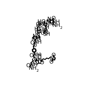 CC(C)[C@H](NC(=O)CCCCCN1C(=O)C=CC1=O)C(=O)N[C@@H](CCCNC(N)=O)C(=O)Nc1ccc(COC(=O)Nc2ncnc3c2ncn3[C@@H]2O[C@@H]3COP(=O)(S)OC4C(O)[C@H](n5cnc6c(=O)[nH]c(N)nc65)O[C@@H]4COP(=O)(S)OC2C3O)cc1